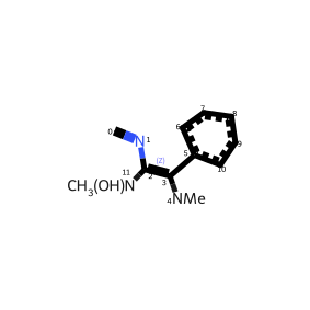 C=N/C(=C(/NC)c1ccccc1)N(C)O